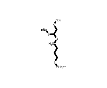 CCCCCCCSCCC[SiH2]OC(CSCCCC)SCCCC